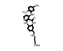 COCCCNCc1ccc2c(c1)NC(=O)c1c(Nc3cc(O)ccc3C)ccnc1N2